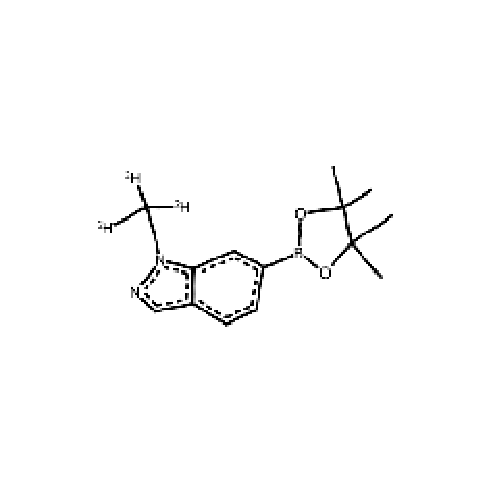 [2H]C([2H])([2H])n1ncc2ccc(B3OC(C)(C)C(C)(C)O3)cc21